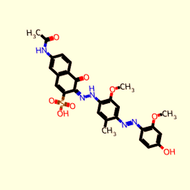 COc1cc(O)ccc1/N=N/c1cc(OC)c(N/N=C2\C(=O)c3ccc(NC(C)=O)cc3C=C2S(=O)(=O)O)cc1C